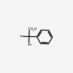 CC(=O)C(F)(C(=O)O)c1ccccc1